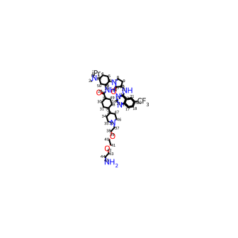 CC(C)N(C)[C@@H]1CC[C@H](N2CC[C@H](Nc3ncnc4ccc(C(F)(F)F)cc34)C2=O)[C@H](NC(=O)C2CCC(C3CCN(CCOCCOCCN)CC3)CC2)C1